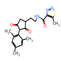 Cc1cc(C)c(C2C(=O)CC(CCNC(=O)c3nnsc3C)C2=O)c(C)c1